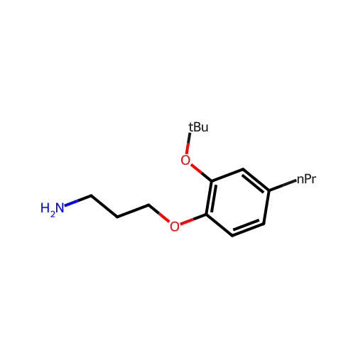 CCCc1ccc(OCCCN)c(OC(C)(C)C)c1